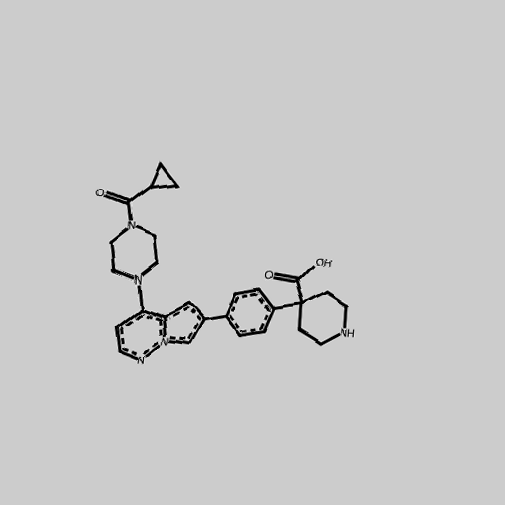 O=C(C1CC1)N1CCN(c2ccnn3cc(-c4ccc(C5(C(=O)O)CCNCC5)cc4)cc23)CC1